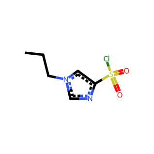 CCCn1cnc(S(=O)(=O)Cl)c1